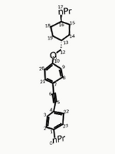 CCCc1ccc(C#Cc2ccc(OC[C@H]3CC[C@H](CCC)CC3)cc2)cc1